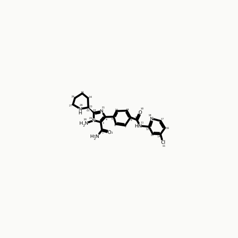 NC(=O)c1c(-c2ccc(C(=O)Nc3cc(Cl)ccn3)cc2)nc([C@@H]2CCCCN2)n1N